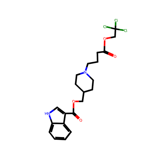 O=C(CCCN1CCC(COC(=O)c2c[nH]c3ccccc23)CC1)OCC(Cl)(Cl)Cl